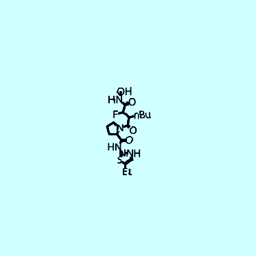 CCCCC(C(=O)N1CCCC1C(=O)NN1NC=C(CC)S1)C(F)C(=O)NO